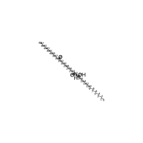 CCCCCCCCCCCCCCCCCC[C@H](O)CNC(=O)CCCCCCCCCCC(=O)CCCCCCCCCCCCC